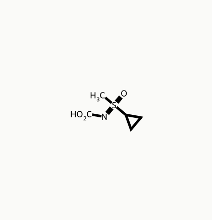 CS(=O)(=NC(=O)O)C1CC1